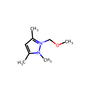 COC[n+]1c(C)cc(C)n1C